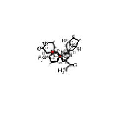 NC(=O)c1cc(CN2CCNC(=O)C2)nc(N2[C@@H]3CC[C@H]2CC(Oc2ccc(C(F)(F)F)cc2)C3)n1